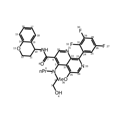 CCCN(CCO)c1c(C(=O)NC2CCOc3ccccc32)cnc2c(-c3cc(F)cc(F)c3F)ncc(OC)c12